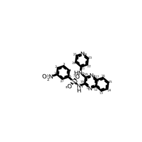 O=[N+]([O-])c1cccc(S(=O)(=O)Nc2nc3ccccc3nc2Nc2ccncc2)c1